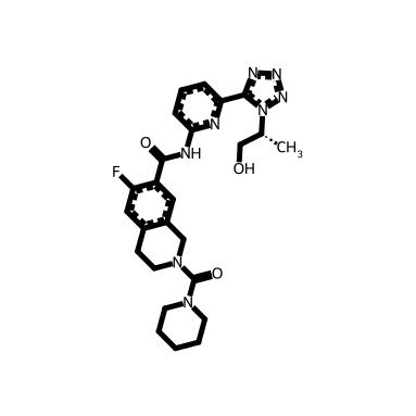 C[C@H](CO)n1nnnc1-c1cccc(NC(=O)c2cc3c(cc2F)CCN(C(=O)N2CCCCC2)C3)n1